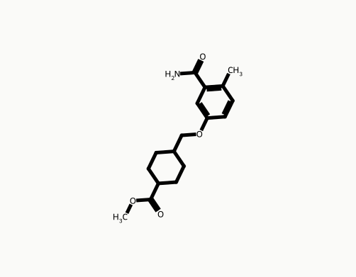 COC(=O)C1CCC(COc2ccc(C)c(C(N)=O)c2)CC1